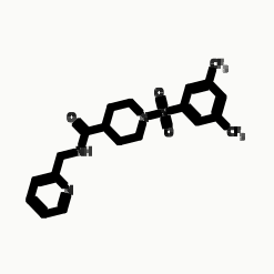 O=C(NCc1ccccn1)C1CCN(S(=O)(=O)c2cc(C(F)(F)F)cc(C(F)(F)F)c2)CC1